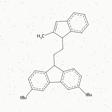 CC1=Cc2ccccc2C1CCC1c2ccc(C(C)(C)C)cc2-c2cc(C(C)(C)C)ccc21